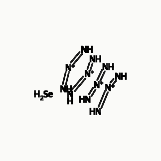 N=[N+]=N.N=[N+]=N.N=[N+]=N.N=[N+]=N.[SeH2]